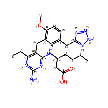 CCCC[C@@H](CC(=O)O)Nc1nc(N)nc(CC)c1Cc1cc(Cc2nn[nH]n2)ccc1OC